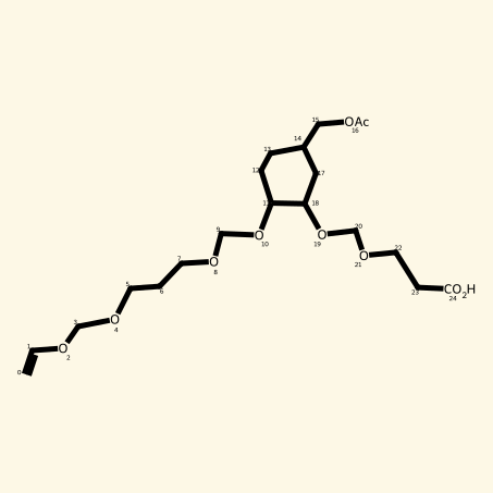 C=COCOCCCOCOC1CCC(COC(C)=O)CC1OCOCCC(=O)O